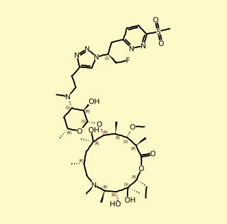 CC[C@H]1OC(=O)[C@H](C)[C@@H](OC)[C@H](C)[C@@H](O[C@@H]2O[C@H](C)C[C@H](N(C)CCc3cn([C@H](CF)Cc4ccc(S(C)(=O)=O)nn4)nn3)[C@H]2O)[C@](C)(O)C[C@@H](C)CN(C)[C@H](C)[C@@H](O)[C@]1(C)O